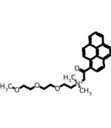 COCCOCCOCC[N+](C)(C)CC(=O)c1ccc2ccc3cccc4ccc1c2c34